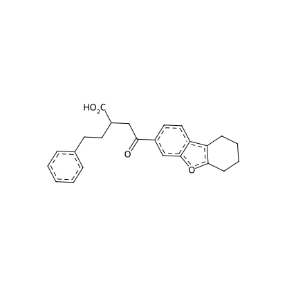 O=C(CC(CCc1ccccc1)C(=O)O)c1ccc2c3c(oc2c1)CCCC3